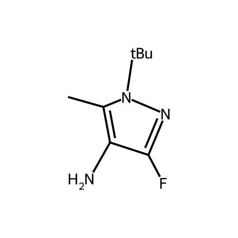 Cc1c(N)c(F)nn1C(C)(C)C